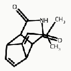 CC(C)C=C1C2C=CC1C1C(=O)NC(=O)C21